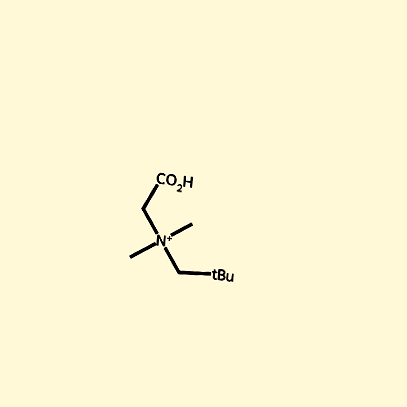 CC(C)(C)C[N+](C)(C)CC(=O)O